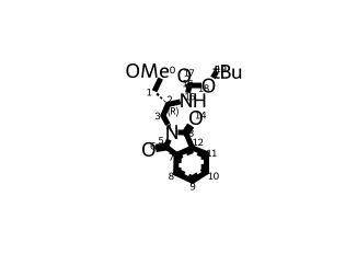 COC[C@@H](CN1C(=O)c2ccccc2C1=O)NC(=O)OC(C)(C)C